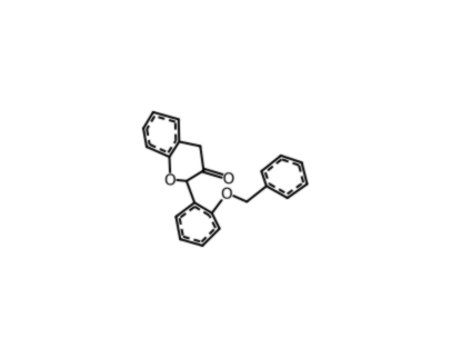 O=C1Cc2ccccc2OC1c1ccccc1OCc1ccccc1